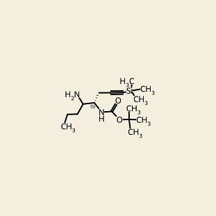 CCCC(N)[C@H](CC#C[Si](C)(C)C)NC(=O)OC(C)(C)C